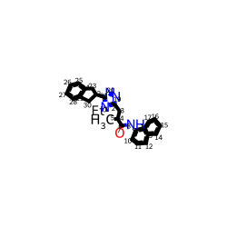 CCn1c(CC(C)C(=O)Nc2cccc3ccccc23)nnc1C1Cc2ccccc2C1